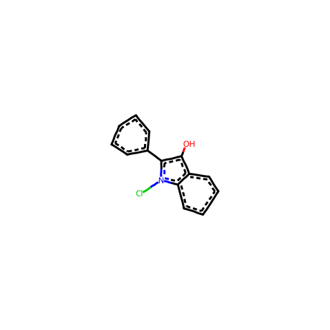 Oc1c(-c2ccccc2)n(Cl)c2ccccc12